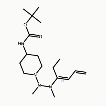 C=C/C=C(\CC)N(C)N(C)N1CCC(NC(=O)OC(C)(C)C)CC1